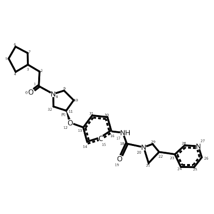 O=C(CC1CCCC1)N1CC[C@@H](Oc2ccc(NC(=O)N3CC(c4cccnc4)C3)cc2)C1